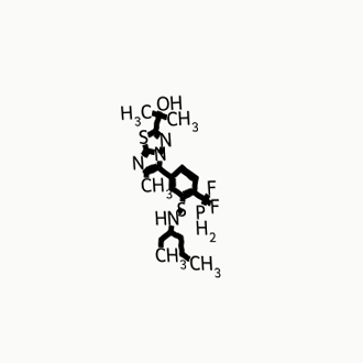 CCCC(CC)NSc1cc(-c2c(C)nc3sc(C(C)(C)O)nn23)ccc1C(F)(F)P